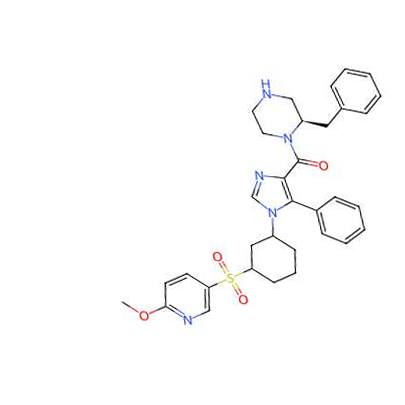 COc1ccc(S(=O)(=O)C2CCCC(n3cnc(C(=O)N4CCNC[C@H]4Cc4ccccc4)c3-c3ccccc3)C2)cn1